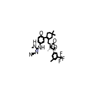 CN/C(=N\C#N)Nc1ccc(OC)c(C2=C(CN3C(=O)O[C@H](c4cc(C)cc(C(F)(F)F)c4)[C@@H]3C)CC(C)(C)CC2)c1